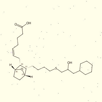 O=C(O)CCC/C=C\C[C@@H]1[C@H](CCCCSCC(O)CC2CCCCC2)[C@@H]2CC[C@H]1O2